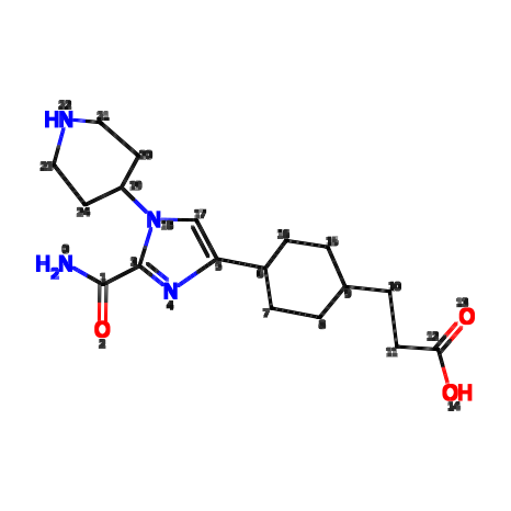 NC(=O)c1nc(C2CCC(CCC(=O)O)CC2)cn1C1CCNCC1